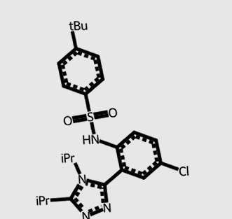 CC(C)c1nnc(-c2cc(Cl)ccc2NS(=O)(=O)c2ccc(C(C)(C)C)cc2)n1C(C)C